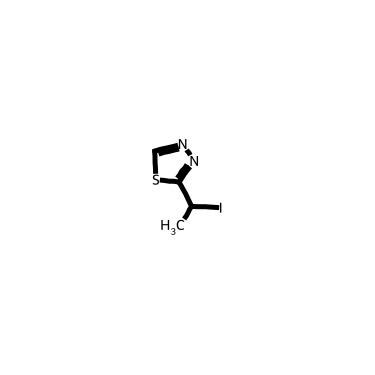 CC(I)c1nncs1